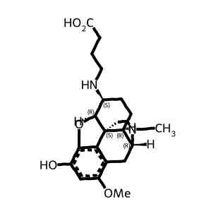 COc1cc(O)c2c3c1C[C@@H]1[C@@H]4CC[C@H](NCCCC(=O)O)[C@H](O2)[C@]34CCN1C